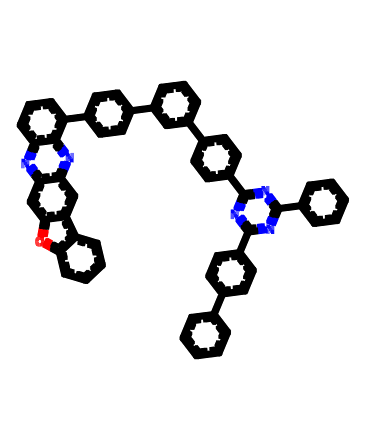 c1ccc(-c2ccc(-c3nc(-c4ccccc4)nc(-c4ccc(-c5cccc(-c6ccc(-c7cccc8nc9cc%10oc%11ccccc%11c%10cc9nc78)cc6)c5)cc4)n3)cc2)cc1